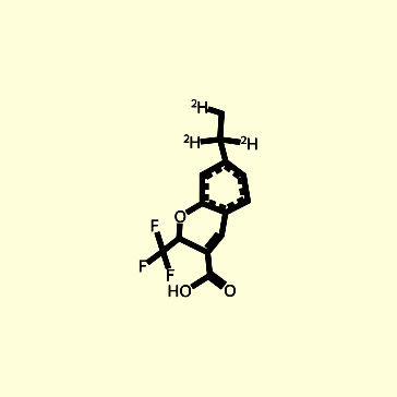 [2H]CC([2H])([2H])c1ccc2c(c1)OC(C(F)(F)F)C(C(=O)O)=C2